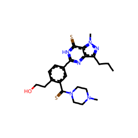 CCCc1nn(C)c2c(=S)[nH]c(-c3ccc(CCO)c(C(=S)N4CCN(C)CC4)c3)nc12